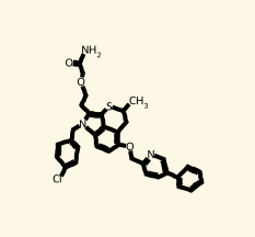 CC1Cc2c(OCc3ccc(-c4ccccc4)cn3)ccc3c2c(c(CCOCC(N)=O)n3Cc2ccc(Cl)cc2)S1